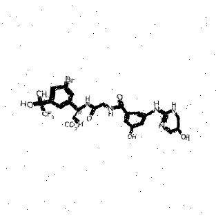 CC(O)(c1cc(Br)cc([C@H](CC(=O)O)NC(=O)CNC(=O)c2cc(O)cc(NC3=NCC(O)CN3)c2)c1)C(F)(F)F